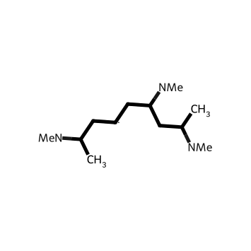 CNC(C)C[CH]CC(CC(C)NC)NC